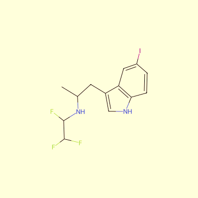 CC(Cc1c[nH]c2ccc(I)cc12)NC(F)C(F)F